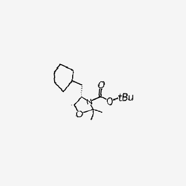 CC(C)(C)OC(=O)N1[C@@H](CC2CCCCC2)[CH]OC1(C)C